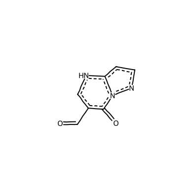 O=Cc1c[nH]c2ccnn2c1=O